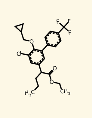 CCCC(C(=O)OCC)c1cc(Cl)c(OCC2CC2)c(-c2ccc(C(F)(F)F)cc2)c1